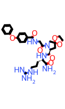 N=C(N)NCCC[C@H](NC(=O)[C@@H]1CC2(CN1C(=O)CNC(=O)c1ccc(Oc3ccccc3)cc1)OCCO2)C(N)=O